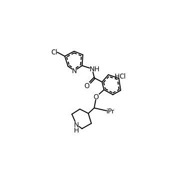 CC(C)C(Oc1ccccc1C(=O)Nc1ccc(Cl)cn1)C1CCNCC1.Cl